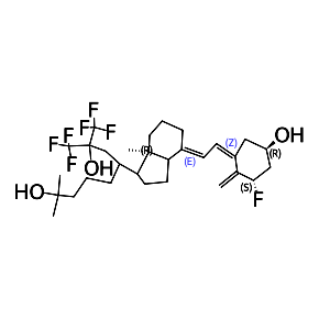 C=C1/C(=C\C=C2/CCC[C@@]3(C)C2CCC3C(CCCC(C)(C)O)CC(O)(C(F)(F)F)C(F)(F)F)C[C@@H](O)C[C@@H]1F